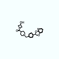 O=C(C1CCN(Cc2ccc(C3COc4cccnc4O3)cc2)CC1)N1CC(O)C1